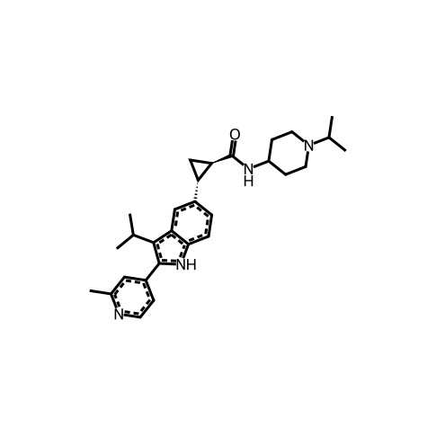 Cc1cc(-c2[nH]c3ccc([C@@H]4C[C@H]4C(=O)NC4CCN(C(C)C)CC4)cc3c2C(C)C)ccn1